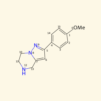 COc1ccc(-c2cc3n(n2)CCNC3)cc1